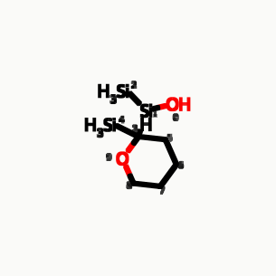 O[SiH]([SiH3])C1([SiH3])CCCCO1